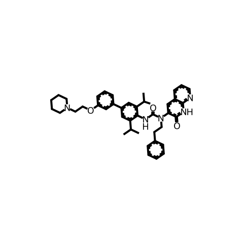 CC(C)c1cc(-c2cccc(OCCN3CCCCC3)c2)cc(C(C)C)c1NC(=O)N(CCc1ccccc1)c1cc2cccnc2[nH]c1=O